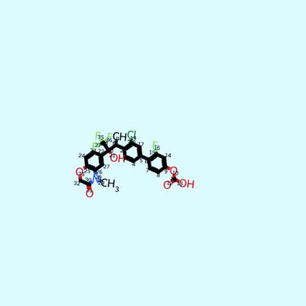 CC(c1ccc(-c2ccc(OC(=O)O)cc2F)cc1Cl)C(O)(c1ccc2c(c1)N(C)C(=O)CO2)C(F)(F)F